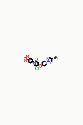 CCCc1cnc(N2CCC(Oc3cc(=O)n(-c4ccc(S(C)(=O)=O)cc4)cc3Cl)CC2)nc1